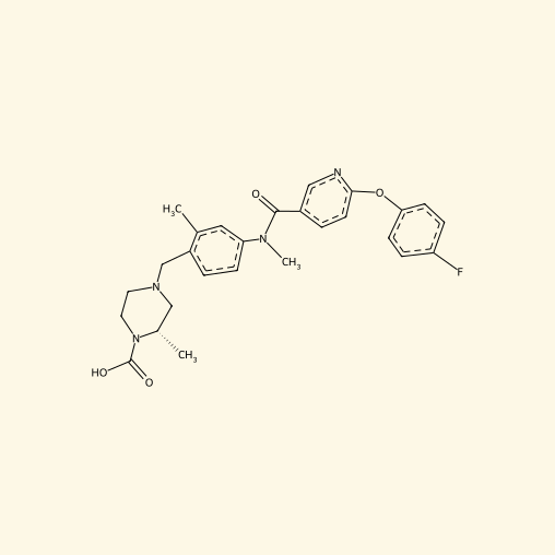 Cc1cc(N(C)C(=O)c2ccc(Oc3ccc(F)cc3)nc2)ccc1CN1CCN(C(=O)O)[C@@H](C)C1